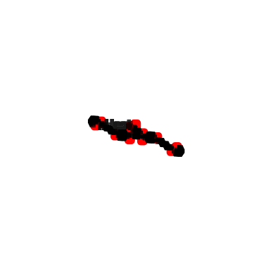 CCCCCCCOC(=O)c1cc(OC(=O)c2ccc(OCCCCCCOC3CCCCO3)cc2)ccc1OC(=O)c1ccc(OCCCCCCOC2CCCCO2)cc1